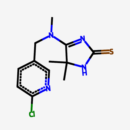 CN(Cc1ccc(Cl)nc1)C1=NC(=S)NC1(C)C